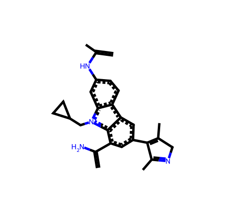 C=C(C)Nc1ccc2c3cc(C4=C(C)CN=C4C)cc(C(=C)N)c3n(CC3CC3)c2c1